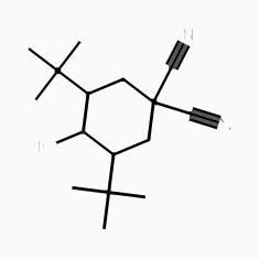 CC(C)(C)C1CC(C#N)(C#N)CC(C(C)(C)C)C1O